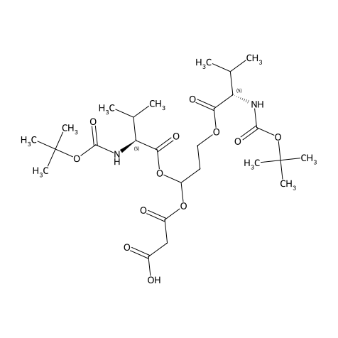 CC(C)[C@H](NC(=O)OC(C)(C)C)C(=O)OCCC(OC(=O)CC(=O)O)OC(=O)[C@@H](NC(=O)OC(C)(C)C)C(C)C